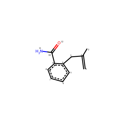 C=C(C)Cc1ccccc1C(N)=O